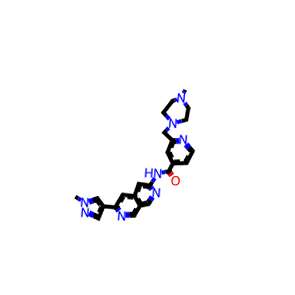 CN1CCN(Cc2cc(C(=O)Nc3cc4cc(-c5cnn(C)c5)ncc4cn3)ccn2)CC1